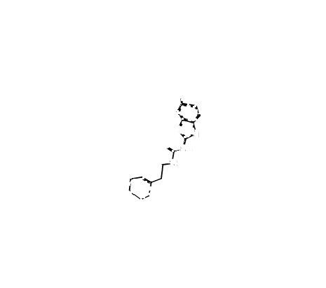 Fc1ccc2nc(NC(=S)NCCC3=CCCCC3)sc2c1